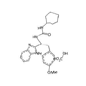 COc1ccc(C[C@@H](NC(=O)NC2CCCCC2)c2nc3ccccc3[nH]2)cc1.O=C(O)O